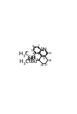 C[SiH](C)Oc1cccc2ncc3c(c12)C(C(C)(C)C)CCC3